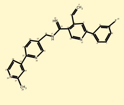 C=Cc1cc(-c2cccc(F)c2)ncc1C(=N)NCc1ccc(-c2ccnc(C)c2)nc1